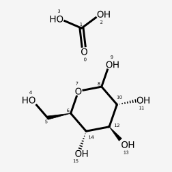 O=C(O)O.OC[C@H]1OC(O)[C@H](O)[C@@H](O)[C@@H]1O